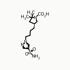 CC1(C)C[C@H](CCCCn2cc(S(N)(=O)=O)cn2)CN1C(=O)O